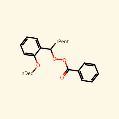 CCCCCCCCCCOc1ccccc1C(CCCCC)OOC(=O)c1ccccc1